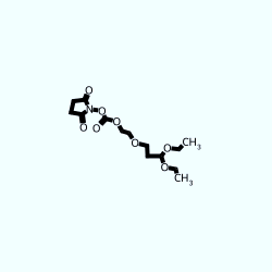 CCOC(CCOCCOC(=O)ON1C(=O)CCC1=O)OCC